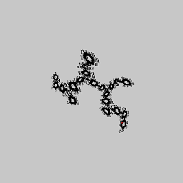 C1=CCC2Oc3c(cccc3-c3ccc(N(c4ccccc4)c4ccc(-c5ccc(N(c6ccc(-c7ccc(N(c8ccc(-c9ccc(N(c%10ccccc%10)c%10ccc(-c%11cccc%12c%11oc%11ccccc%11%12)cc%10)cc9)cc8)c8ccc(-c9ccc(-c%10ccccc%10)s9)cc8)cc7)cc6)c6ccc(-c7ccc(-c8ccccc8)s7)cc6)cc5)cc4)cc3)C2=C1